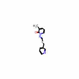 Cc1cccn(/N=C/CCc2cccnc2)c1=O